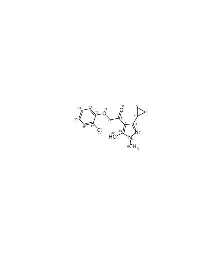 Cn1nc(C2CC2)c(C(=O)COc2ccccc2Cl)c1O